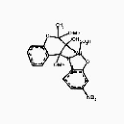 COC1(C)Oc2ccccc2C(OC)(N2c3ccc([N+](=O)[O-])cc3OC2S(=O)(=O)O)C1(C)O